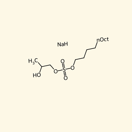 CCCCCCCCCCCCOS(=O)(=O)OCC(C)O.[NaH]